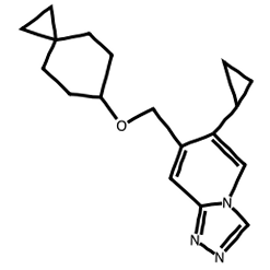 c1c(COC2CCC3(CC2)CC3)c(C2CC2)cn2cnnc12